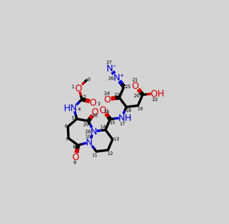 COC(=O)NC1CCC(=O)N2CCCC(C(=O)NC(CC(=O)O)C(=O)C=[N+]=[N-])N2C1=O